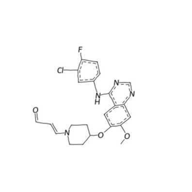 COc1cc2ncnc(Nc3ccc(F)c(Cl)c3)c2cc1OC1CCN(C=CC=O)CC1